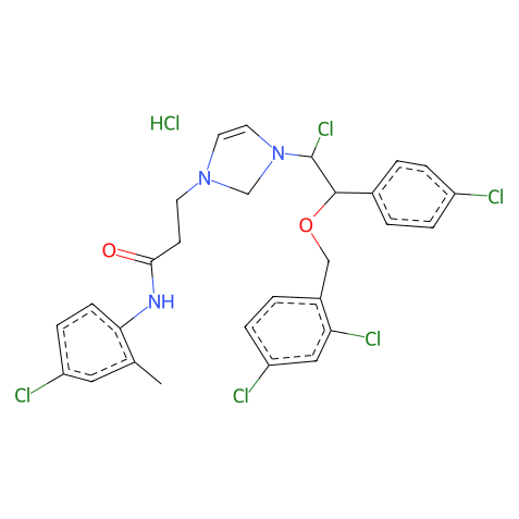 Cc1cc(Cl)ccc1NC(=O)CCN1C=CN(C(Cl)C(OCc2ccc(Cl)cc2Cl)c2ccc(Cl)cc2)C1.Cl